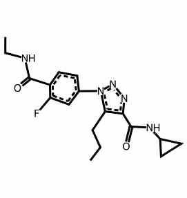 CCCc1c(C(=O)NC2CC2)nnn1-c1ccc(C(=O)NCC)c(F)c1